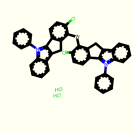 Cl.Cl.Clc1ccc2c([c]1[Zr][c]1c(Cl)ccc3c1Cc1c-3n(-c3ccccc3)c3ccccc13)Cc1c-2n(-c2ccccc2)c2ccccc12